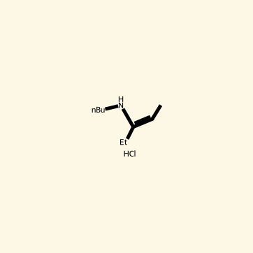 C/C=C(/CC)NCCCC.Cl